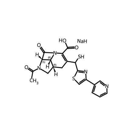 CC(=O)N1C[C@H]2CC(C(S)c3nc(-c4cccnc4)cs3)=C(C(=O)O)N3C(=O)[C@@H]1[C@@H]23.[NaH]